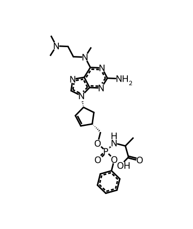 CC(N[P@](=O)(OC[C@@H]1C=C[C@H](n2cnc3c(N(C)CCN(C)C)nc(N)nc32)C1)Oc1ccccc1)C(=O)O